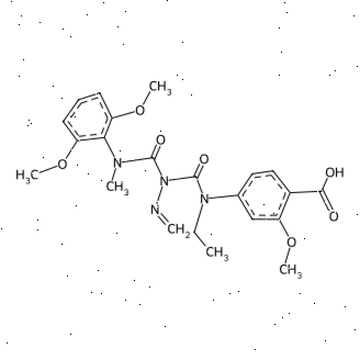 C=NN(C(=O)N(C)c1c(OC)cccc1OC)C(=O)N(CC)c1ccc(C(=O)O)c(OC)c1